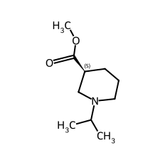 COC(=O)[C@H]1CCCN(C(C)C)C1